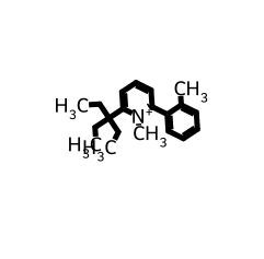 CCC(CC)(CC)c1cccc(-c2ccccc2C)[n+]1C